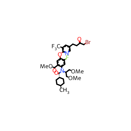 COCC(COC)N(c1cc(F)c(Oc2ncc(CCC(=O)CBr)cc2C(F)(F)F)cc1C(=O)OC)C(=O)[C@H]1CC[C@H](C)CC1